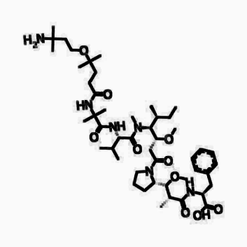 CC[C@H](C)[C@@H]([C@@H](CC(=O)N1CCC[C@H]1C(OC)[C@@H](C)C(=O)N[C@@H](Cc1ccccc1)C(=O)O)OC)N(C)C(=O)[C@@H](NC(=O)C(C)(C)NC(=O)CCC(C)(C)OCCC(C)(C)N)C(C)C